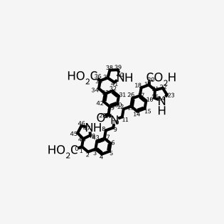 O=C(O)C(Cc1cccc(CCN(CCc2cccc(CC(C(=O)O)C3CCNC3)c2)C(=O)c2cccc(CC(C(=O)O)C3CCNC3)c2)c1)C1CCNC1